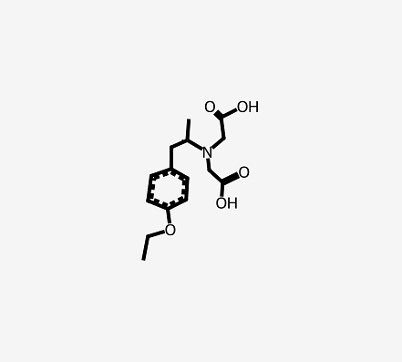 CCOc1ccc(C[C](C)N(CC(=O)O)CC(=O)O)cc1